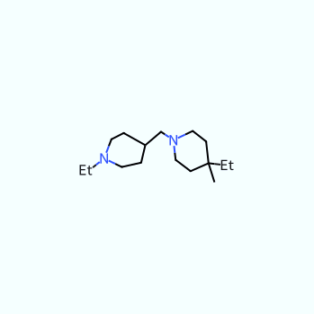 CCN1CCC(CN2CCC(C)(CC)CC2)CC1